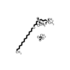 CCCCCCCCCCCCCCOCC(CS(=O)(=O)CCC[N+](C)(C)C)OC.CS(=O)(=O)[O-]